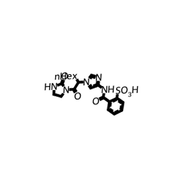 CCCCCCC(C(=O)N1CCNC1=O)n1cnc(NC(=O)c2ccccc2S(=O)(=O)O)c1